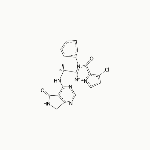 C[C@H](Nc1ncnc2c1C(=O)NC2)c1nn2ccc(Cl)c2c(=O)n1-c1ccccc1